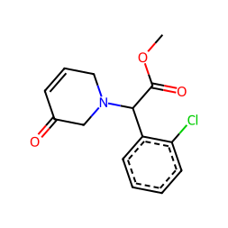 COC(=O)C(c1ccccc1Cl)N1CC=CC(=O)C1